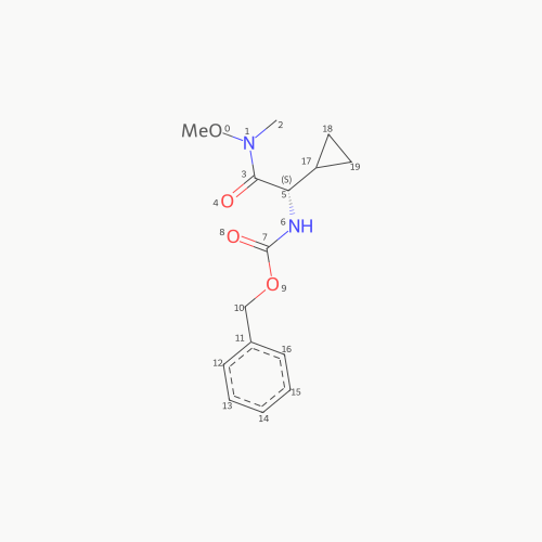 CON(C)C(=O)[C@@H](NC(=O)OCc1ccccc1)C1CC1